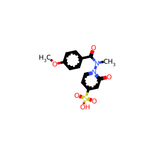 COc1ccc(C(=O)N(C)n2ccc(S(=O)(=O)O)cc2=O)cc1